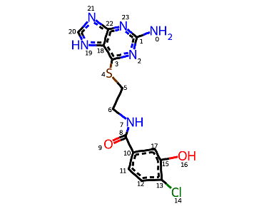 Nc1nc(SCCNC(=O)c2ccc(Cl)c(O)c2)c2[nH]cnc2n1